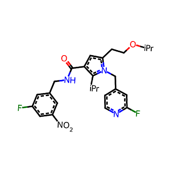 CC(C)OCCc1cc(C(=O)NCc2cc(F)cc([N+](=O)[O-])c2)c(C(C)C)n1Cc1ccnc(F)c1